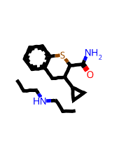 CCCNCCC.NC(=O)C1Sc2ccccc2CC1C1CC1